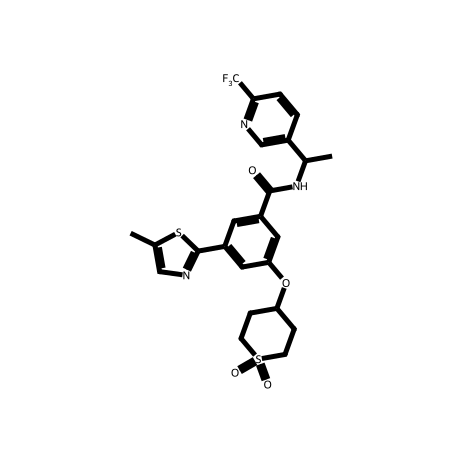 Cc1cnc(-c2cc(OC3CCS(=O)(=O)CC3)cc(C(=O)NC(C)c3ccc(C(F)(F)F)nc3)c2)s1